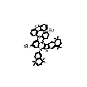 CC(C)(C)c1ccc2c(c1)N(c1cccc3oc4ccccc4c13)c1cc(C(C)(C)C)cc3c1B2c1c(sc2cc4c(cc12)C(C)(C)CCC4(C)C)N3c1ccc2c(c1)C(C)(C)CCC2(C)C